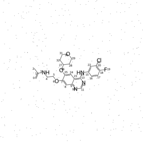 C=C(C)NCCOc1cc2ncnc(Nc3ccc(F)c(Cl)c3)c2cc1OC1CCOCC1